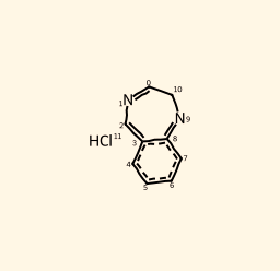 C1=NC=c2ccccc2=NC1.Cl